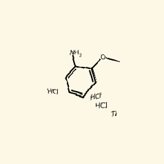 COc1ccccc1N.Cl.Cl.Cl.[Ti]